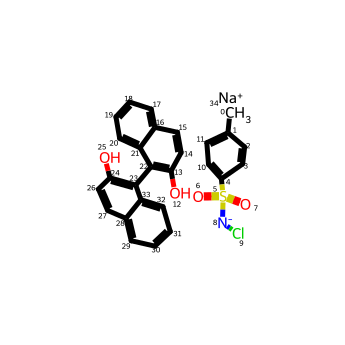 Cc1ccc(S(=O)(=O)[N-]Cl)cc1.Oc1ccc2ccccc2c1-c1c(O)ccc2ccccc12.[Na+]